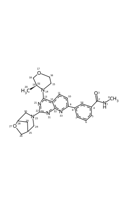 CNC(=O)c1cccc(-c2ccc3c(N4CCOC[C@@H]4C)nc(N4CC5COC(C5)C4)nc3n2)c1